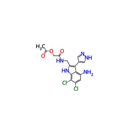 CC(=O)OCC(=O)NCc1[nH]c2c(Cl)c(Cl)cc(N)c2c1-c1cn[nH]c1